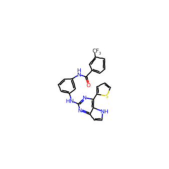 O=C(Nc1cccc(Nc2nc(-c3cccs3)c3[nH]ccc3n2)c1)c1cccc(C(F)(F)F)c1